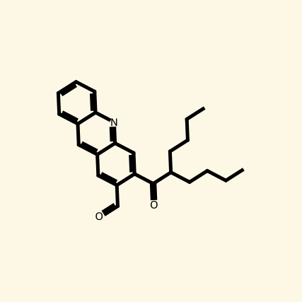 CCCCC(CCCC)C(=O)c1cc2nc3ccccc3cc2cc1C=O